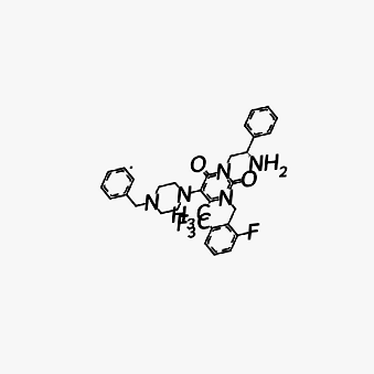 Cc1c(N2CCN(Cc3c[c]ccc3)CC2)c(=O)n(C[C@@H](N)c2ccccc2)c(=O)n1Cc1c(F)cccc1C(F)(F)F